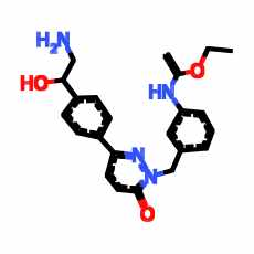 C=C(Nc1cccc(Cn2nc(-c3ccc(C(O)CN)cc3)ccc2=O)c1)OCC